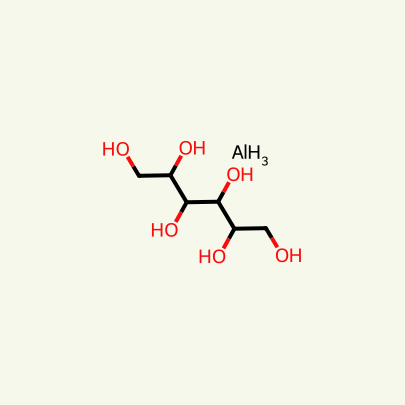 OCC(O)C(O)C(O)C(O)CO.[AlH3]